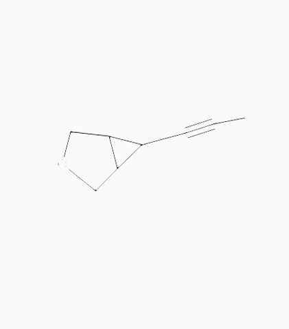 CC#CC1C2COCC12